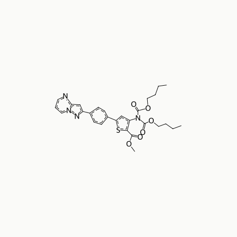 CCCCOC(=O)N(C(=O)OCCCC)c1cc(-c2ccc(-c3cc4ncccn4n3)cc2)sc1C(=O)OC